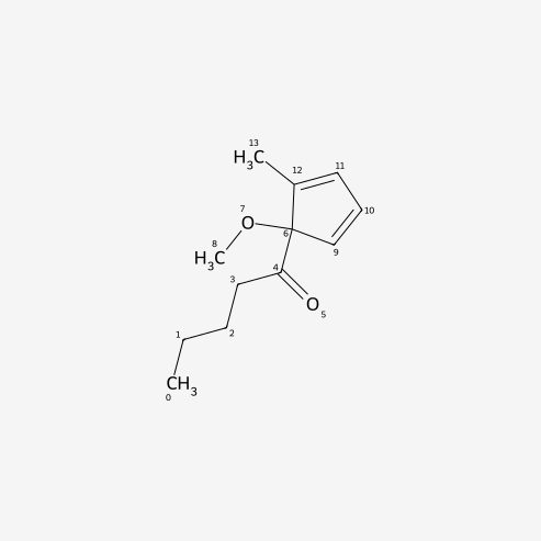 CCCCC(=O)C1(OC)C=CC=C1C